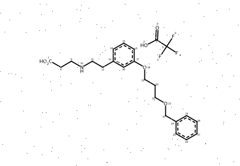 O=C(O)C(F)(F)F.O=C(O)CCNCCc1cccc(OCCCOCc2ccccc2)c1